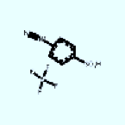 F[B-](F)(F)F.N#[N+]c1ccc(S(=O)(=O)O)cc1